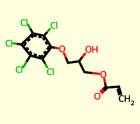 C=CC(=O)OCC(O)COc1c(Cl)c(Cl)c(Cl)c(Cl)c1Cl